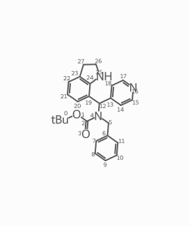 CC(C)(C)OC(=O)N(Cc1ccccc1)C(c1ccncc1)c1cccc2c1NCC2